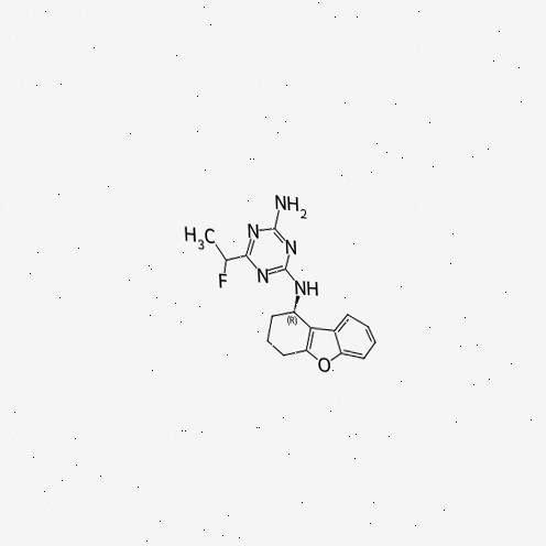 CC(F)c1nc(N)nc(N[C@@H]2CCCc3oc4ccccc4c32)n1